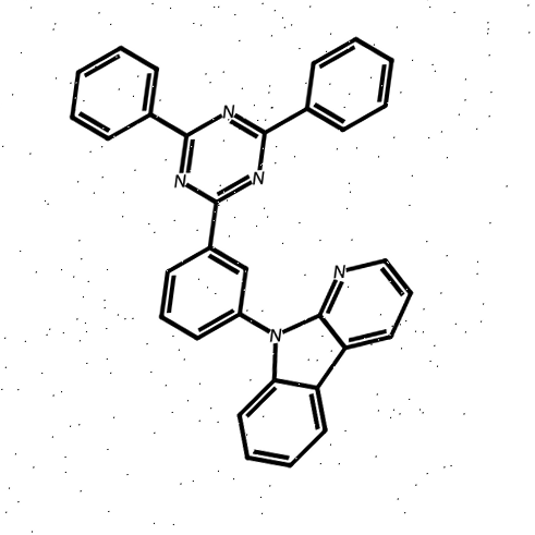 c1ccc(-c2nc(-c3ccccc3)nc(-c3cccc(-n4c5ccccc5c5cccnc54)c3)n2)cc1